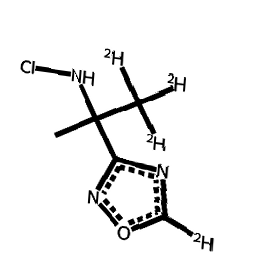 [2H]c1nc(C(C)(NCl)C([2H])([2H])[2H])no1